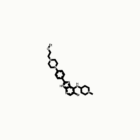 CCOCCN1CCN(c2ccc(-c3nc4c(NC5CCN(C)CC5)c(Br)cnc4[nH]3)cc2)CC1